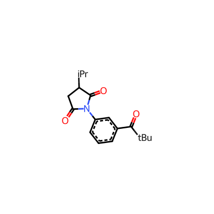 CC(C)C1CC(=O)N(c2cccc(C(=O)C(C)(C)C)c2)C1=O